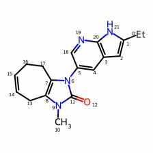 CCc1cc2cc(-n3c4c(n(C)c3=O)CC=CCC4)cnc2[nH]1